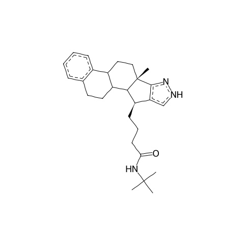 CC(C)(C)NC(=O)CCC[C@@H]1c2c[nH]nc2[C@@]2(C)CCC3c4ccccc4CCC3C12